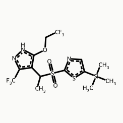 CC(c1c(C(F)(F)F)n[nH]c1OCC(F)(F)F)S(=O)(=O)c1ncc([Si](C)(C)C)s1